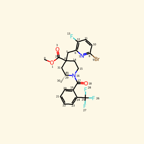 COC(=O)C1(Cc2nc(Br)ccc2F)CCN(C(=O)c2ccccc2C(F)(F)F)[C@H](C)C1